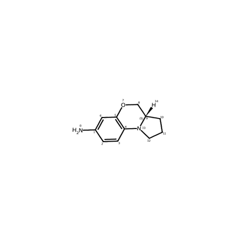 Nc1ccc2c(c1)OC[C@@H]1CCCN21